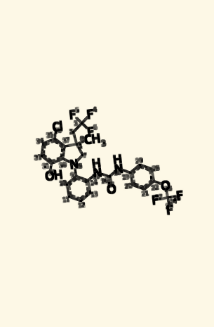 CC1(CC(F)(F)F)CN(c2ccccc2NC(=O)Nc2ccc(OC(F)(F)F)cc2)c2c(O)ccc(Cl)c21